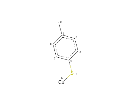 Cc1ccc([S][Cu])cc1